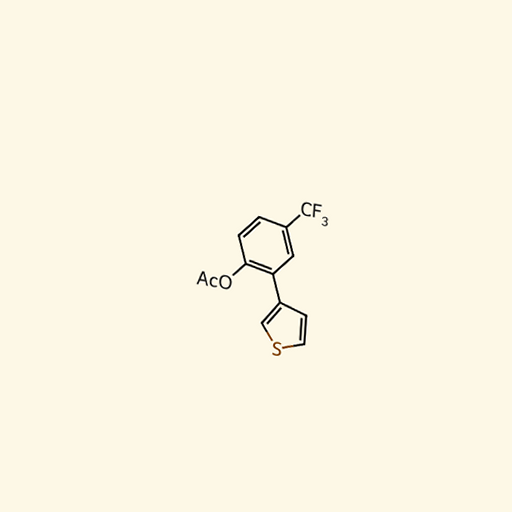 CC(=O)Oc1ccc(C(F)(F)F)cc1-c1ccsc1